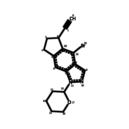 C#CC1CCc2cc3c(cnn3C3CCCCO3)c(Br)c21